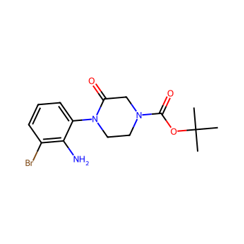 CC(C)(C)OC(=O)N1CCN(c2cccc(Br)c2N)C(=O)C1